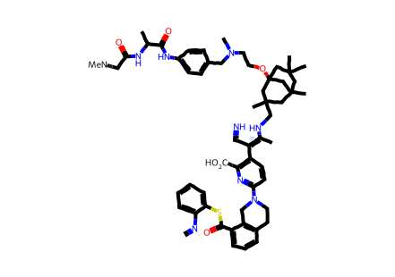 C=Nc1ccccc1SC(=O)c1cccc2c1CN(c1ccc(/C(C=N)=C(\C)NCC3(C)CC4(C)CC(C)(C)CC(OCCN(C)Cc5ccc(NC(=O)C(C)NC(=O)CNC)cc5)(C3)C4)c(C(=O)O)n1)CC2